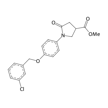 COC(=O)C1CC(=O)N(c2ccc(OCc3cccc(Cl)c3)cc2)C1